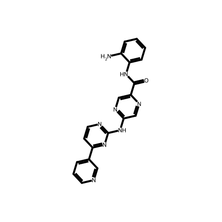 Nc1ccccc1NC(=O)c1cnc(Nc2nccc(-c3cccnc3)n2)cn1